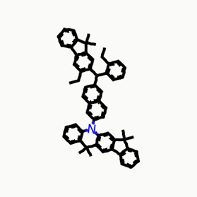 CCc1ccccc1C(c1ccc2cc(N3c4ccccc4C(C)(C)c4cc5c(cc43)C(C)(C)c3ccccc3-5)ccc2c1)c1cc2c(cc1CC)-c1ccccc1C2(C)C